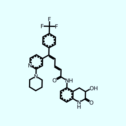 O=C(/C=C/C=C(/c1ccc(C(F)(F)F)cc1)c1ccnc(N2CCCCC2)c1)Nc1cccc2c1CC(O)C(=O)N2